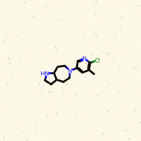 Cc1cc(N2CCC3CCNC3CC2)cnc1Cl